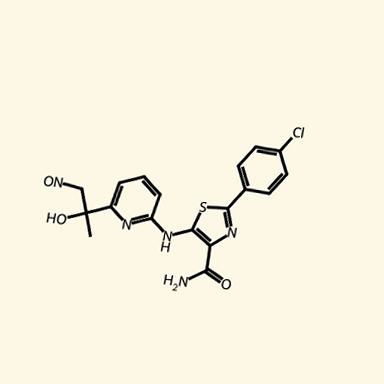 CC(O)(CN=O)c1cccc(Nc2sc(-c3ccc(Cl)cc3)nc2C(N)=O)n1